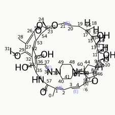 C/C1=C/C=C/[C@]2(C)O[C@H]([C@@H](C)[C@@H](O)[C@@H](C)[C@H](O)[C@H](C)C/C=C/O[C@@]3(C)Oc4c(C)c(OI)c5c(O)c(c(/C=N/N6CCN(C7CCCC7)CC6)c(O)c5c4C3=O)NC1=O)[C@H]2C